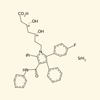 CC(C)c1c(C(=O)Nc2ccccc2)c(-c2ccccc2)c(-c2ccc(F)cc2)n1CC[C@@H](O)C[C@@H](O)CC(=O)O.[SrH2]